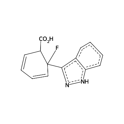 O=C(O)C1C=CC=CC1(F)c1n[nH]c2ccccc12